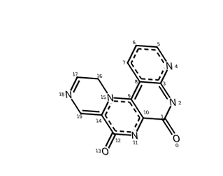 O=C1N=c2ncccc2=c2c1nc(=O)c1n2CC=NC=1